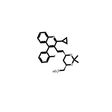 CC1(C)O[C@@H](CC(=O)O)C[C@@H](/C=C/c2c(C3CC3)nc3ccccc3c2-c2ccccc2F)O1